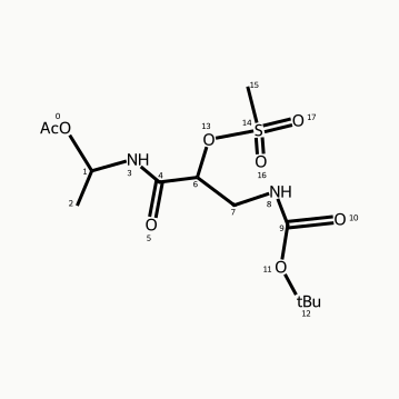 CC(=O)OC(C)NC(=O)C(CNC(=O)OC(C)(C)C)OS(C)(=O)=O